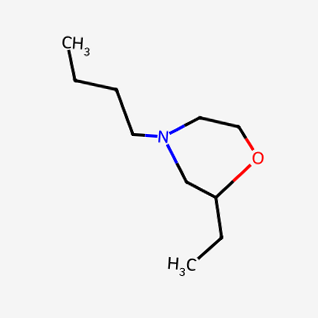 CCCCN1CCOC(CC)C1